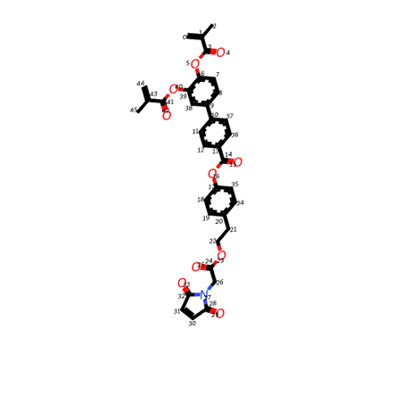 C=C(C)C(=O)Oc1ccc(-c2ccc(C(=O)Oc3ccc(CCOC(=O)CN4C(=O)C=CC4=O)cc3)cc2)cc1OC(=O)C(=C)C